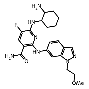 COCCn1ncc2ccc(Nc3nc(NC4CCCCC4N)c(F)cc3C(N)=O)cc21